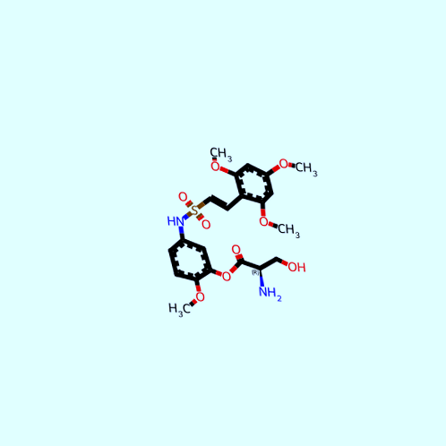 COc1cc(OC)c(C=CS(=O)(=O)Nc2ccc(OC)c(OC(=O)[C@H](N)CO)c2)c(OC)c1